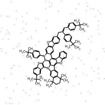 CC(C)(C)c1ccc(/C=C(/Cc2ccc3c(c2)oc2cc4c(cc23)-c2c3c5c(c6cc7c(cc6n5-c5c(sc6ccc(C(C)(C)C)cc56)B3N4c3ccc(C(C)(C)C)cc3)C(C)(C)CCC7(C)C)c3oc4ccccc4c23)c2ccc(C(C)(C)C)cc2)cc1